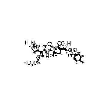 Cc1ccc(S(=O)(=O)OC=CC2=C(C(=O)O)N3C(=O)C(NC(=O)C(=NOCC(=O)O)c4csc(N)n4)[C@@H]3SC2)cc1